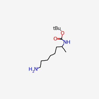 CC(CCCCCCN)NC(=O)OC(C)(C)C